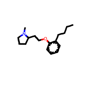 CCCCc1ccccc1OCCC1CCCN1C